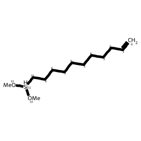 C=CCCCCCCCCC[SiH](OC)OC